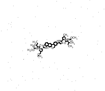 CCC(C)C(NC(=O)OC)C(=O)N1C[C@@H](C)CC1c1ncc(-c2ccc3c(c2)COc2cc4c(ccc5nc([C@@H]6CC(COC)CN6C(=O)C(NC(=O)OC)C(C)CC)[nH]c54)cc2-3)[nH]1